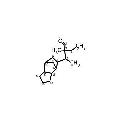 CCC(C)(C=O)C(C)C1CC2CC1C1CCCC21